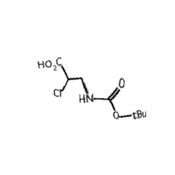 CC(C)(C)OC(=O)NCC(Cl)C(=O)O